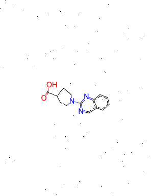 O=C(O)C1CCN(c2ncc3ccccc3n2)CC1